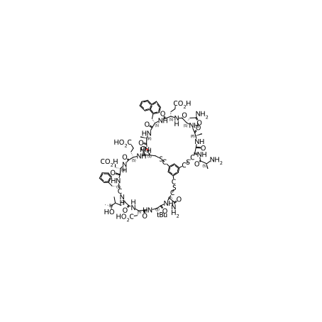 CC(C[C@@H]1NC[C@H](Cc2ccccc2)NC(=O)[C@H](CC(=O)O)NC(=O)[C@H](CCC(=O)O)NC(=O)[C@H]2CSCc3cc(cc(c3)CSC[C@H](NC(=O)[C@H](C)N)C(=O)N[C@H](C)C(=O)N[C@@H](CC(N)=O)C(=O)N[C@@H](CCC(=O)O)C(=O)N[C@@H](Cc3cccc4ccccc34)C(=O)N[C@H](C)C(=O)N2)CSC[C@@H](C(N)=O)NC(=O)[C@H](C(C)(C)C)NC(=O)[C@H](CC(=O)O)NC1=O)[C@@H](C)O